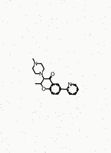 CC1Oc2ccc(-c3ccccn3)cc2C(=O)C1N1CCN(C)CC1